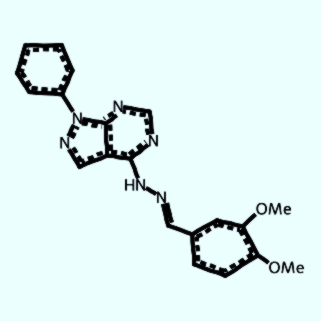 COc1ccc(C=NNc2ncnc3c2cnn3-c2ccccc2)cc1OC